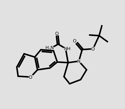 CC(C)(C)OC(=O)N1CCCCC1(NC(N)=O)c1ccc2c(c1)OCC=C2